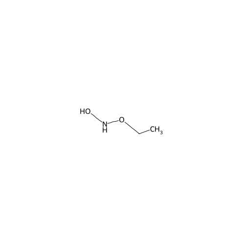 CCONO